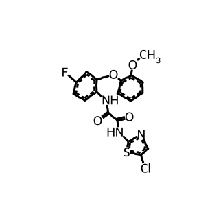 COc1ccccc1Oc1cc(F)ccc1NC(=O)C(=O)Nc1ncc(Cl)s1